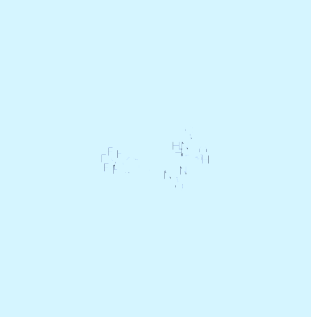 O=C1CO[C@H]2CCN(C(=O)N3CCC(c4ccc(S(F)(F)(F)(F)F)cc4)CC3)C[C@H]2N1